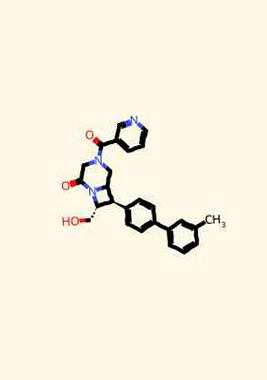 Cc1cccc(-c2ccc([C@@H]3C4CN(C(=O)c5cccnc5)CC(=O)N4[C@H]3CO)cc2)c1